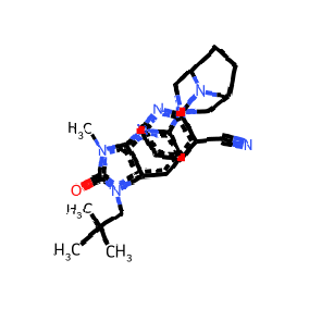 Cn1c(=O)n(CC(C)(C)C)c2ccc(N3CC4CCC(C3)N4c3ncccc3C#N)nc21